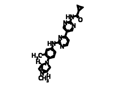 Cc1cc(Nc2nccc(-c3cnc(NC(=O)C4CC4)nc3)n2)ccc1N1C[C@@H]2C[C@H]1CN2C